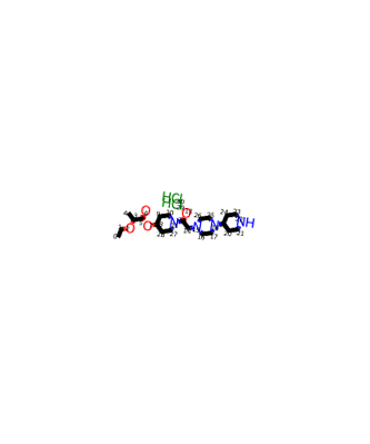 CCOC(C)C(=O)OC1CCN(C(=O)CN2CCN(C3CCNCC3)CC2)CC1.Cl.Cl